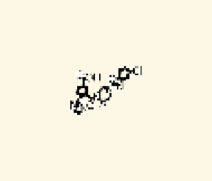 C[C@@H]1CCN(c2nc3cc(Cl)ccc3o2)CCN1C(=O)c1cc(C(=O)O)ccc1-n1nccn1